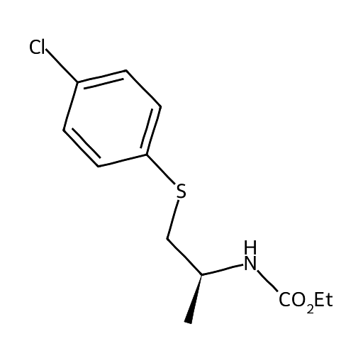 CCOC(=O)N[C@@H](C)CSc1ccc(Cl)cc1